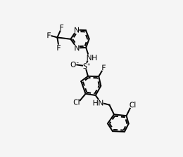 [O-][S+](Nc1ccnc(C(F)(F)F)n1)c1cc(Cl)c(NCc2ccccc2Cl)cc1F